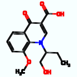 CCC(CO)n1cc(C(=O)O)c(=O)c2cccc(OC)c21